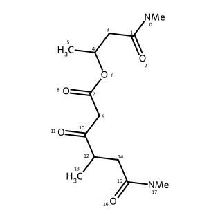 CNC(=O)CC(C)OC(=O)CC(=O)C(C)CC(=O)NC